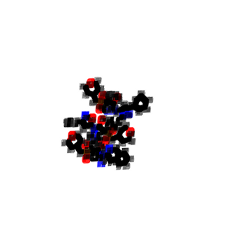 CC(C)(C(=O)Nc1cc2ccccc2cn1)S(=O)(=O)CC1CCOCC1.CC(C)(C)c1cc(NC(=O)C(C)(C)S(=O)(=O)CC2CCOCC2)on1.Cn1nc(-c2ccccc2)cc1NC(=O)C(C)(C)S(=O)(=O)CC1CCOCC1